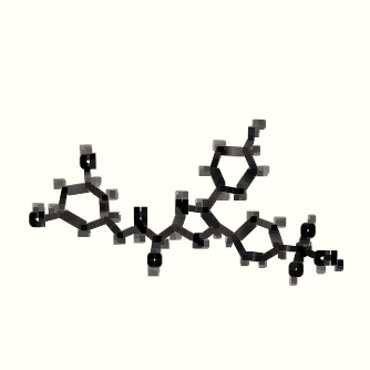 CS(=O)(=O)c1ccc(-c2sc(C(=O)NCc3cc(Cl)cc(Cl)c3)nc2-c2ccc(F)cc2)cc1